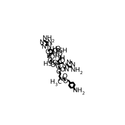 CN(CCOC(=O)O[C@@H]1[C@@H]2O[P@](=O)(S)OC[C@H]3O[C@@H](n4cnc5c(N)ncnc54)[C@H](O[P@](=O)(S)OC[C@H]2O[C@H]1n1cnc2c(N)ncnc21)[C@@H]3O)C(=O)OCc1ccc(N)cc1